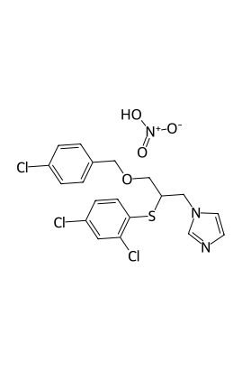 Clc1ccc(COCC(Cn2ccnc2)Sc2ccc(Cl)cc2Cl)cc1.O=[N+]([O-])O